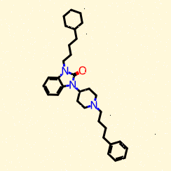 O=c1n(CCCCC2CCCCC2)c2ccccc2n1C1CCN(CCCCc2ccccc2)CC1